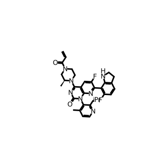 C=CC(=O)N1CCN(c2nc(=O)n(-c3c(C)ccnc3C(C)C)c3nc(-c4c(F)ccc5c4NCC5)c(F)cc23)[C@@H](C)C1